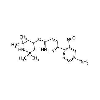 CC1(C)CC(OC(=N)/C=C\C(=N)c2ccc(N)cc2N=O)CC(C)(C)N1